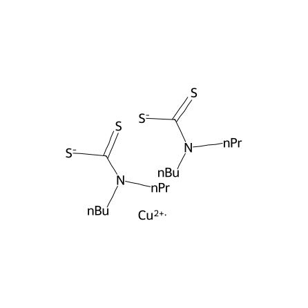 CCCCN(CCC)C(=S)[S-].CCCCN(CCC)C(=S)[S-].[Cu+2]